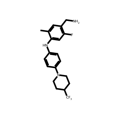 Cc1cc(CN)c(F)cc1Nc1ccc(N2CCC(C(F)(F)F)CC2)cc1